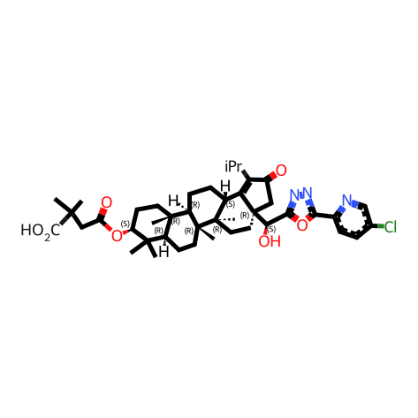 CC(C)C1=C2[C@H]3CC[C@@H]4[C@@]5(C)CC[C@H](OC(=O)CC(C)(C)C(=O)O)C(C)(C)[C@@H]5CC[C@@]4(C)[C@]3(C)CC[C@@]2([C@H](O)c2nnc(-c3ccc(Cl)cn3)o2)CC1=O